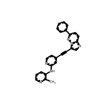 Cc1ncccc1Nc1cc(C#Cc2cnc3ccc(-c4cc[c]cc4)nn23)ccn1